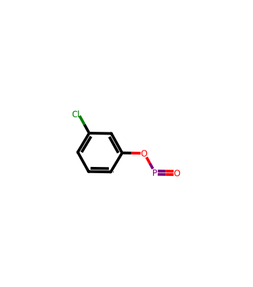 O=POc1[c]ccc(Cl)c1